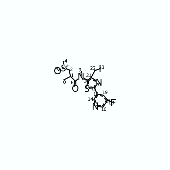 CC(C[S+](C)[O-])C(=O)N(C)c1sc(-c2cncc(F)c2)nc1CI